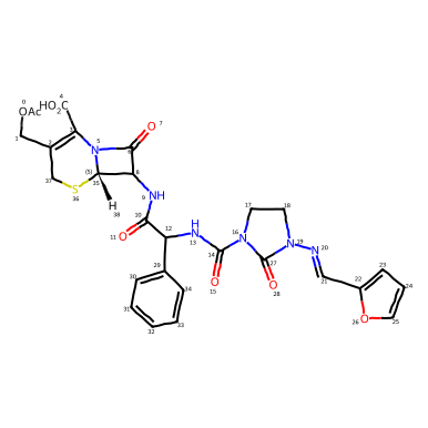 CC(=O)OCC1=C(C(=O)O)N2C(=O)C(NC(=O)C(NC(=O)N3CCN(N=Cc4ccco4)C3=O)c3ccccc3)[C@@H]2SC1